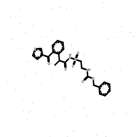 CC(C(=O)NS(=O)(=O)CCNC(=O)OCc1ccccc1)c1ccccc1C(=O)c1ccsc1